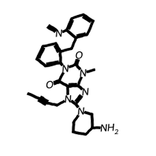 C=Nc1ccccc1Cc1ccccc1-n1c(=O)c2c(nc(N3CCCC(N)C3)n2CC#CC)n(C)c1=O